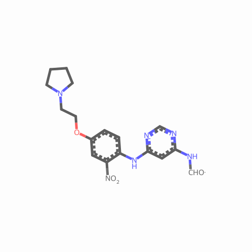 O=[C]Nc1cc(Nc2ccc(OCCN3CCCC3)cc2[N+](=O)[O-])ncn1